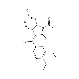 COc1ccc(/C(O)=C2\C(=O)N(C(C)=O)c3cc(Cl)ccc32)cc1OC